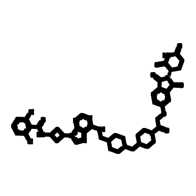 O=C1CC[C@H](N2C(=O)c3ccc(OCC(=O)N4CCC(CN5CCC(CNc6ncnc7c6ncn7C6CC(NC(=O)c7c(Cl)cccc7Cl)C6)CC5)CC4)cc3C2=O)C(=O)N1